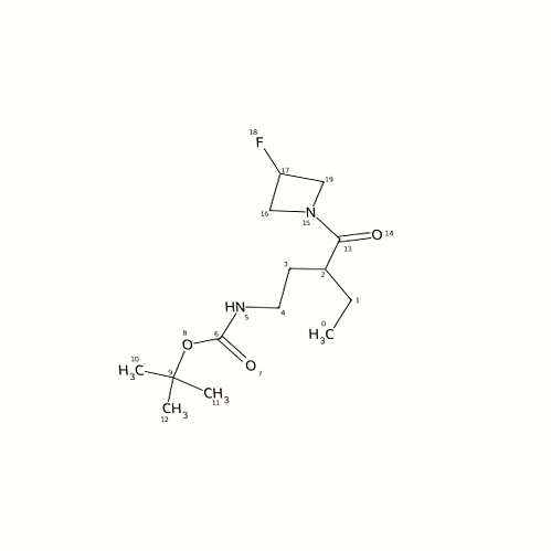 CCC(CCNC(=O)OC(C)(C)C)C(=O)N1CC(F)C1